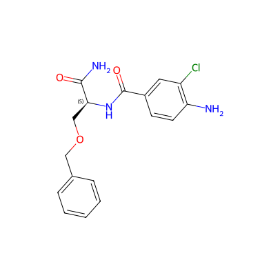 NC(=O)[C@H](COCc1ccccc1)NC(=O)c1ccc(N)c(Cl)c1